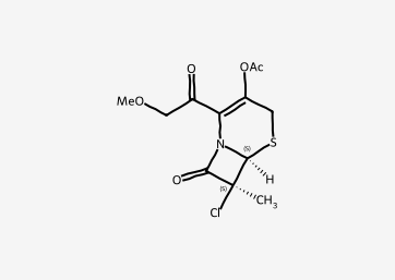 COCC(=O)C1=C(OC(C)=O)CS[C@@H]2N1C(=O)[C@]2(C)Cl